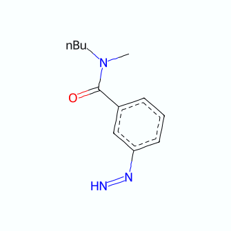 CCCCN(C)C(=O)c1cccc(N=N)c1